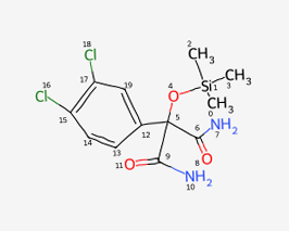 C[Si](C)(C)OC(C(N)=O)(C(N)=O)c1ccc(Cl)c(Cl)c1